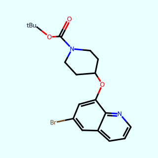 CC(C)(C)OC(=O)N1CCC(Oc2cc(Br)cc3cccnc23)CC1